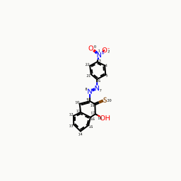 O=[N+]([O-])c1ccc(N=NC2=Cc3ccccc3C(O)C2=S)cc1